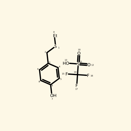 CCSCc1ccc(O)cc1.O=S(=O)(O)C(F)(F)F